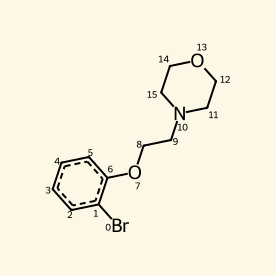 Brc1ccccc1OCCN1CCOCC1